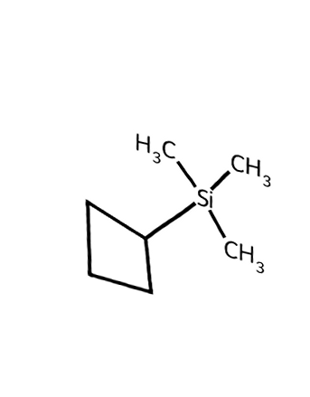 C[Si](C)(C)C1CCC1